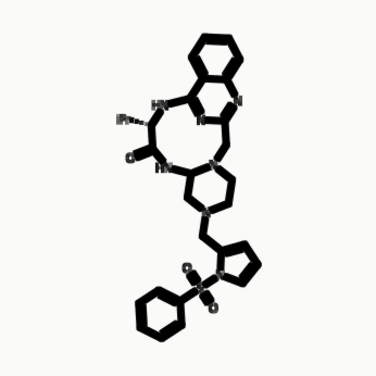 CC(C)[C@@H]1Nc2nc(nc3ccccc23)CN2CCN(Cc3cccn3S(=O)(=O)c3ccccc3)CC2NC1=O